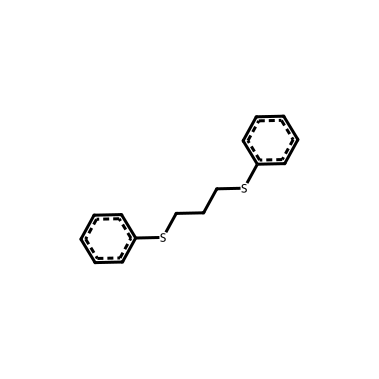 c1ccc(SCCCSc2ccccc2)cc1